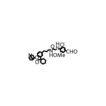 COc1cc(NCC(=O)NCCCc2cccc(C3(C(=O)OC4CN5CCC4CC5)CCCCC3)c2)c(Cl)cc1C=O